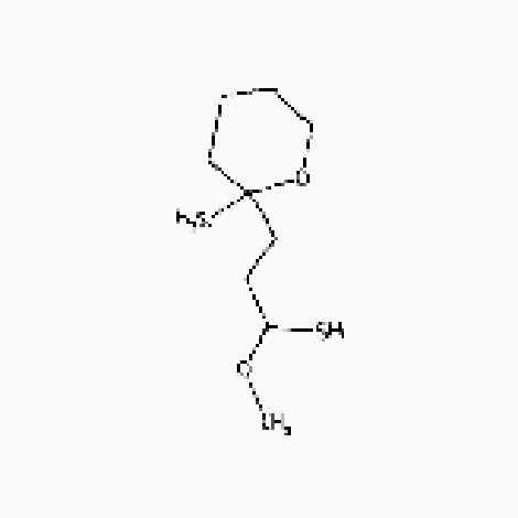 COC(S)CCC1([SiH3])CCCCO1